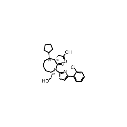 O=C(O)C[C@@H]1C(=O)N(c2nc(-c3ccccc3Cl)cs2)[C@H](CO)CCC[C@H]1C1CCCC1